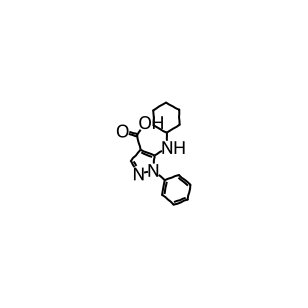 O=C(O)c1cnn(-c2ccccc2)c1NC1CCCCC1